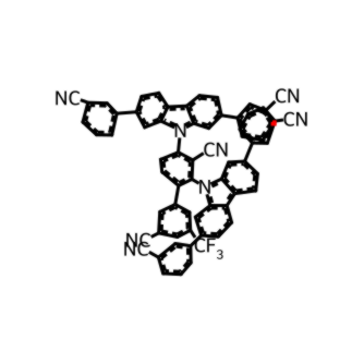 N#Cc1cccc(-c2ccc3c4ccc(-c5cccc(C#N)c5)cc4n(-c4ccc(-c5cc(C#N)cc(C(F)(F)F)c5)c(-n5c6cc(-c7cccc(C#N)c7)ccc6c6ccc(-c7cccc(C#N)c7)cc65)c4C#N)c3c2)c1